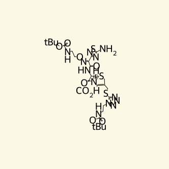 CC(C)(C)OC(=O)NCCON=C(C(=O)NC1C(=O)N2C(C(=O)O)=C(CSc3nnnn3CCNC(=O)OC(C)(C)C)CS[C@@H]12)c1nsc(N)n1